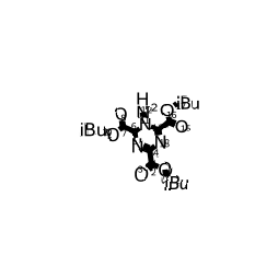 CCC(C)OC(=O)C1=NC(C(=O)OC(C)CC)N(N)C(C(=O)OC(C)CC)=N1